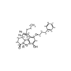 CCCN1CC[C@]23c4c5c(OCCCc6ccccc6)cc(O)c4O[C@H]2C(=O)CC[C@H]3[C@H]1C5